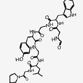 CC(C)CC(NC(=O)CNC(=O)C(Cc1ccc(O)cc1)NC(=O)CNC(=O)C(Cc1c[nH]c2ccccc12)NC(=O)CNC=O)C(=O)NCC(=O)N1CCCC1